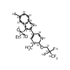 CCS(=O)(=O)c1c(C2=CN(C)C(OCC(F)(F)C(F)(F)F)N=C2)nc2ccc(I)cn12